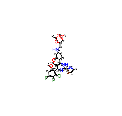 COC[C@@H](CNC1CCC(C2=C(C(=O)OC)C(c3ccc(F)c(F)c3Cl)N=C(c3nccs3)N2)CC1)OC(C)=O